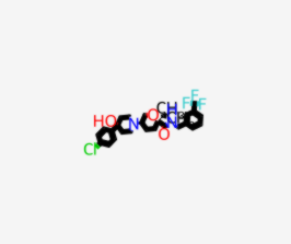 CC(C)[C@]1(C(=O)NCc2cccc(C(F)(F)F)c2)CC[C@@H](N2CCC(O)(c3ccc(Cl)cc3)CC2)CO1